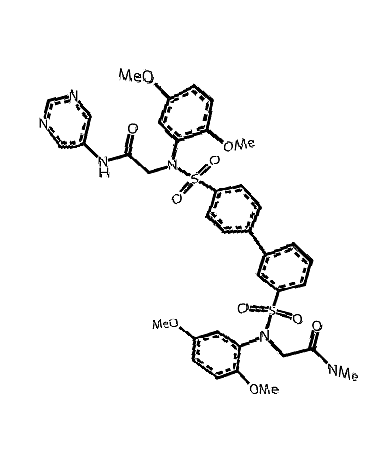 CNC(=O)CN(c1cc(OC)ccc1OC)S(=O)(=O)c1cccc(-c2ccc(S(=O)(=O)N(CC(=O)Nc3cncnc3)c3cc(OC)ccc3OC)cc2)c1